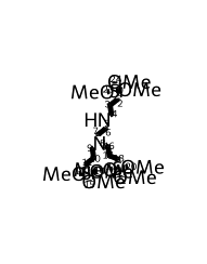 CO[Si](CCCNCCN(CCC[Si](OC)(OC)OC)CCC[Si](OC)(OC)OC)(OC)OC